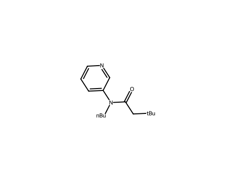 CCCCN(C(=O)CC(C)(C)C)c1cccnc1